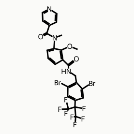 COc1c(C(=O)NCc2c(Br)cc(C(F)(C(F)(F)F)C(F)(F)F)cc2Br)cccc1N(C)C(=O)c1ccncc1